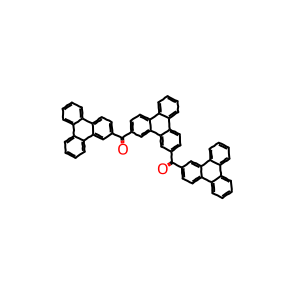 O=C(c1ccc2c3ccccc3c3ccccc3c2c1)c1ccc2c3ccccc3c3ccc(C(=O)c4ccc5c6ccccc6c6ccccc6c5c4)cc3c2c1